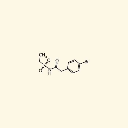 CCS(=O)(=O)NC(=O)Cc1ccc(Br)cc1